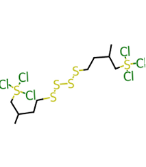 CC(CCSSSSCCC(C)CS(Cl)(Cl)Cl)CS(Cl)(Cl)Cl